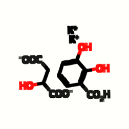 O=C(O)c1cccc(O)c1O.O=C([O-])CC(O)C(=O)[O-].[K+].[K+]